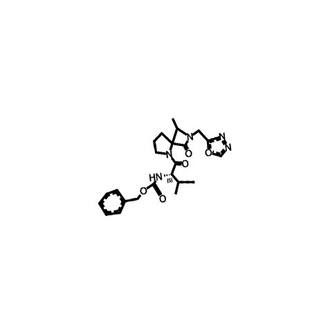 CC(C)[C@H](NC(=O)OCc1ccccc1)C(=O)N1CCCC12C(=O)N(Cc1nnco1)C2C